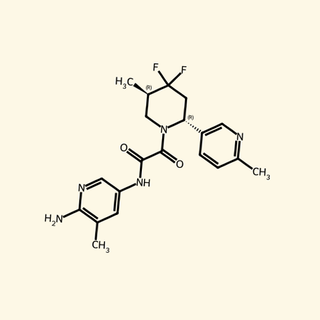 Cc1ccc([C@H]2CC(F)(F)[C@H](C)CN2C(=O)C(=O)Nc2cnc(N)c(C)c2)cn1